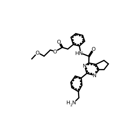 COCCOC(=O)Cc1ccccc1NC(=O)c1nc(-c2cccc(CN)c2)nc2c1CCC2